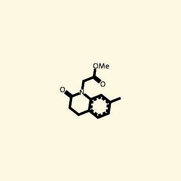 COC(=O)CN1C(=O)CCc2ccc(C)cc21